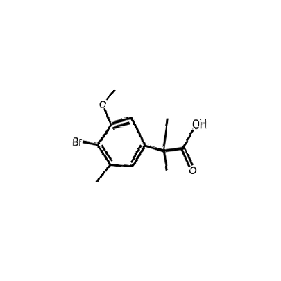 COc1cc(C(C)(C)C(=O)O)cc(C)c1Br